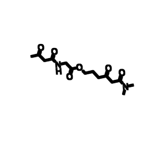 CC(=O)CC(=O)NCC(=O)OCCCC(=O)CC(=O)N(C)C